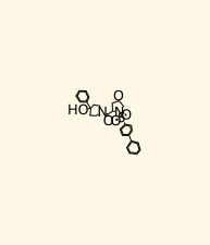 O=C1CC(C(=O)N2CCC(O)(c3ccccc3)CC2)N(S(=O)(=O)c2ccc(-c3ccccc3)cc2)C1